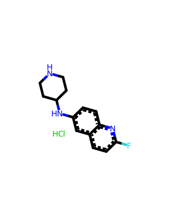 Cl.Fc1ccc2cc(NC3CCNCC3)ccc2n1